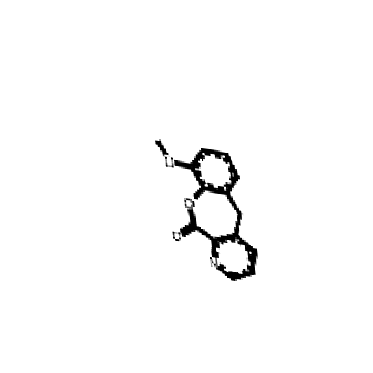 COc1cccc2c1OC(=O)c1ncccc1C2